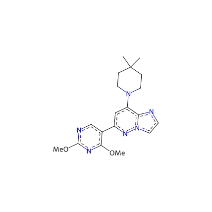 COc1ncc(-c2cc(N3CCC(C)(C)CC3)c3nccn3n2)c(OC)n1